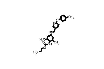 CCCOC(=O)Nc1c(C)cc(NCc2ccc(Oc3ccc(C)cc3)nc2)cc1C